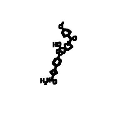 COc1ccc(C(=O)N2CCC(COc3ccc(C45CC(C(N)=O)(C4)C5)cc3)(C(=O)O)C2)cc1